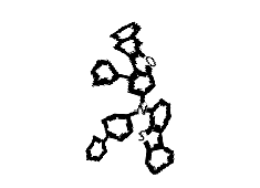 c1ccc(-c2ccc(N(c3cc(-c4ccccc4)c4c(c3)oc3cc5ccccc5cc34)c3cccc4c3sc3ccccc34)cc2)cc1